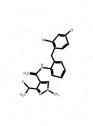 C=C(Nc1ccccc1Cc1ccc(Cl)cc1Cl)c1cn(C)nc1C(C)F